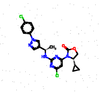 C[C@H](Nc1nc(Cl)cc(N2C(=O)OC[C@@H]2C2CC2)n1)c1cnn(-c2ccc(Cl)cc2)c1